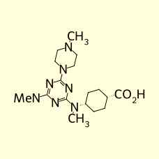 CNc1nc(N2CCN(C)CC2)nc(N(C)[C@H]2CC[C@@H](C(=O)O)CC2)n1